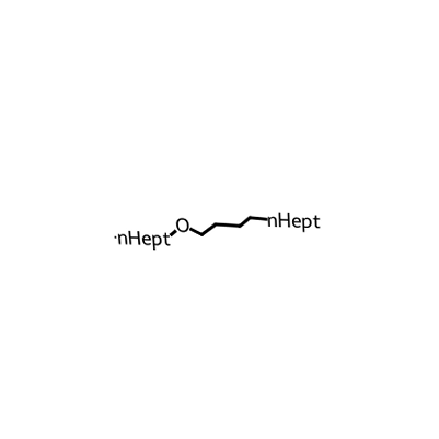 CCCCCC[CH]OCCCCCCCCCCC